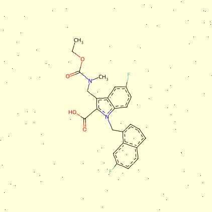 CCOC(=O)N(C)Cc1c(C(=O)O)n(Cc2cccc3ccc(F)cc23)c2ccc(F)cc12